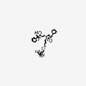 O=C1N(Cc2ccccc2)C[C@H](/C=C/C(O)C(F)(F)c2ccccc2)N1CCCCOCc1nnn[nH]1